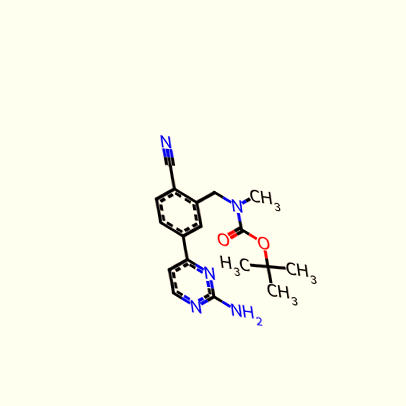 CN(Cc1cc(-c2ccnc(N)n2)ccc1C#N)C(=O)OC(C)(C)C